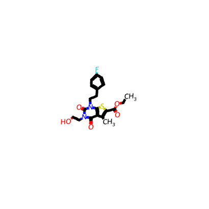 CCOC(=O)c1sc2c(c1C)c(=O)n(CCO)c(=O)n2CCc1ccc(F)cc1